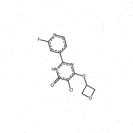 O=c1[nH]c(-c2ccnc(F)c2)nc(OC2COC2)c1Cl